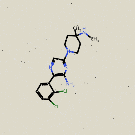 CNC1(C)CCN(c2cnc(-c3cccc(Cl)c3Cl)c(N)n2)CC1